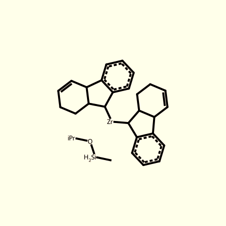 C1=CC2c3ccccc3[CH]([Zr][CH]3c4ccccc4C4C=CCCC43)C2CC1.C[SiH2]OC(C)C